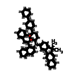 CC1(C)c2ccc(N(c3ccc(-c4ccc(-c5ccccc5)cc4)cc3)c3ccc4ccccc4c3-c3ccc4ccccc4c3)cc2-c2cc3ccccc3cc21